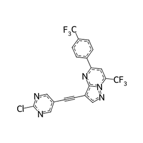 FC(F)(F)c1ccc(-c2cc(C(F)(F)F)n3ncc(C#Cc4cnc(Cl)nc4)c3n2)cc1